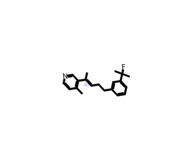 C/C(=C\CCc1cccc(C(C)(C)F)c1)c1cnccc1C